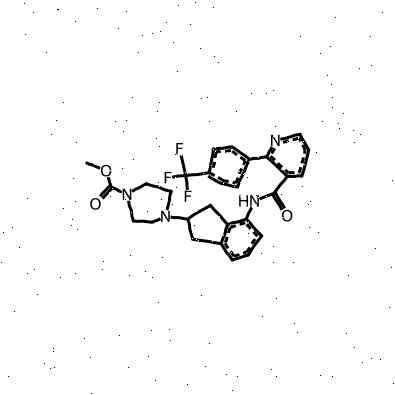 COC(=O)N1CCN(C2Cc3cccc(NC(=O)c4cccnc4-c4ccc(C(F)(F)F)cc4)c3C2)CC1